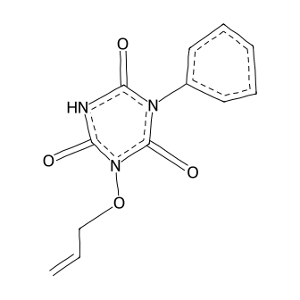 C=CCOn1c(=O)[nH]c(=O)n(-c2ccccc2)c1=O